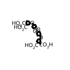 O=C(O)c1ccc(Oc2ccc(S(=O)(=O)c3ccc(Oc4ccc(C(=O)O)c(C(=O)O)c4)cc3)cc2)cc1C(=O)O